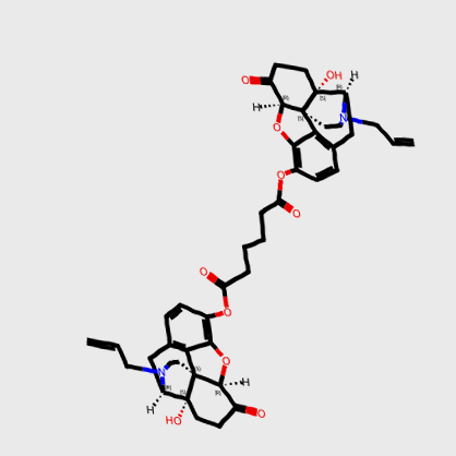 C=CCN1CC[C@]23c4c5ccc(OC(=O)CCCCC(=O)Oc6ccc7c8c6O[C@H]6C(=O)CC[C@@]9(O)[C@@H](C7)N(CC=C)CC[C@]869)c4O[C@H]2C(=O)CC[C@@]3(O)[C@H]1C5